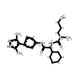 Cc1n[nH]c(C)c1-c1ccc(NC(=O)[C@@H](NC(=O)N(C)CCCO)C2CCCCC2)cc1